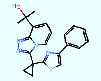 CC(C)(O)c1cccn2c(C3(c4nc(-c5ccccc5)cs4)CC3)nnc12